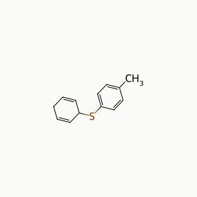 Cc1ccc(SC2C=CCC=C2)cc1